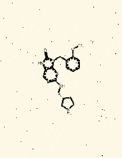 O=c1[nH]c2cnc(NC[C@@H]3CCNC3)nc2n1Cc1ccccc1OC(F)(F)F